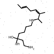 CC=CC/C=C(/C)C(C)NCCCCC(O)(CCC)CCN